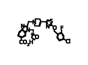 O=C(O)c1ccc2nc(CN3CC=C(c4csc(OCc5ccc(Cl)cc5F)n4)CC3)n(C[C@@H]3CCO3)c2c1